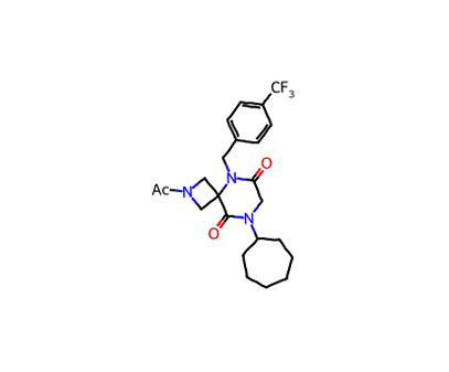 CC(=O)N1CC2(C1)C(=O)N(C1CCCCCC1)CC(=O)N2Cc1ccc(C(F)(F)F)cc1